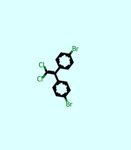 ClC(Cl)=C(c1ccc(Br)cc1)c1ccc(Br)cc1